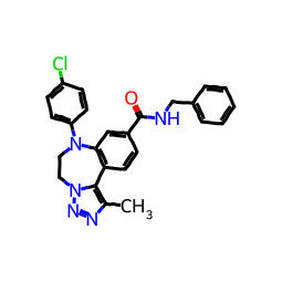 Cc1nnn2c1-c1ccc(C(=O)NCc3ccccc3)cc1N(c1ccc(Cl)cc1)CC2